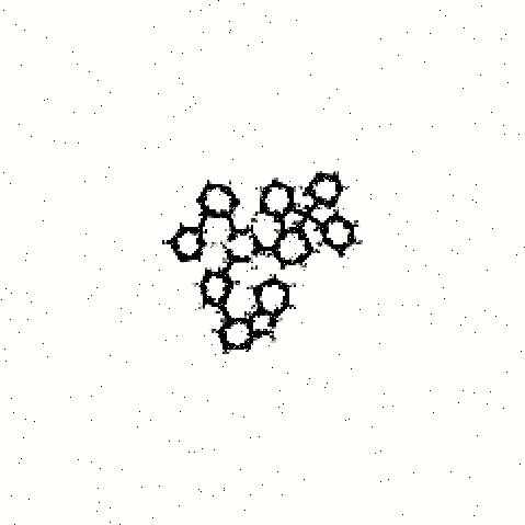 c1ccc(-c2ccccc2-c2nc(-c3cccc(-c4cccc5sc6ccccc6c45)c3)nc(-c3cccc4c3-c3ccccc3C4(c3ccccc3)c3ccccc3)n2)cc1